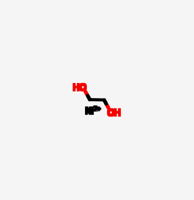 OCCO.[Ni+2]